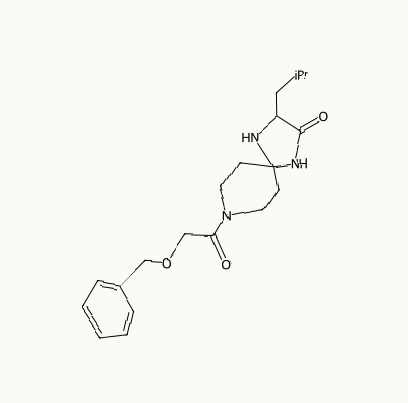 CC(C)CC1NC2(CCN(C(=O)COCc3ccccc3)CC2)NC1=O